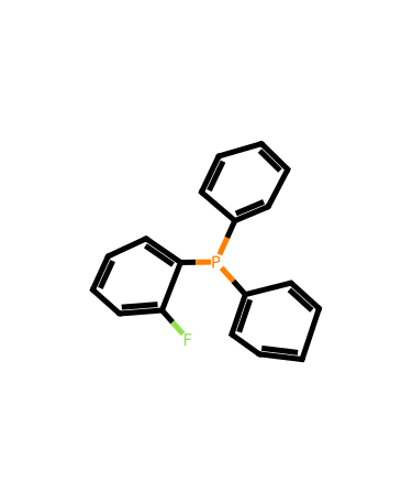 Fc1ccccc1P(c1ccccc1)c1ccccc1